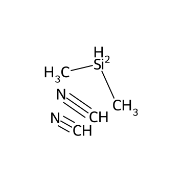 C#N.C#N.C[SiH2]C